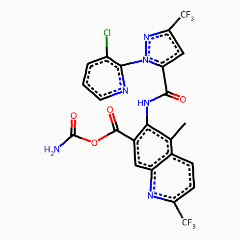 Cc1c(NC(=O)c2cc(C(F)(F)F)nn2-c2ncccc2Cl)c(C(=O)OC(N)=O)cc2nc(C(F)(F)F)ccc12